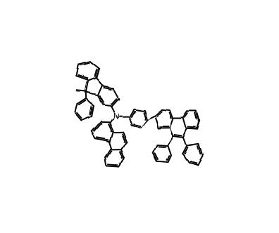 CC1(c2ccccc2)c2ccccc2-c2ccc(N(c3ccc(-c4ccc5c(c4)c(-c4ccccc4)c(-c4ccccc4)c4ccccc45)cc3)c3cccc4c3ccc3ccccc34)cc21